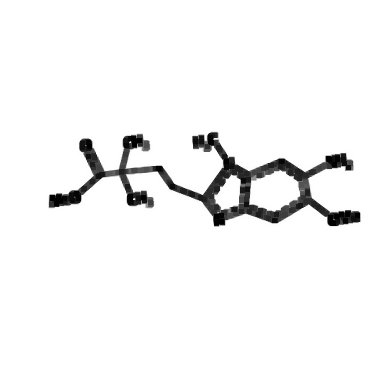 COC(=O)C(C)(C)CCc1nc2cc(OC)c(N)cc2n1C